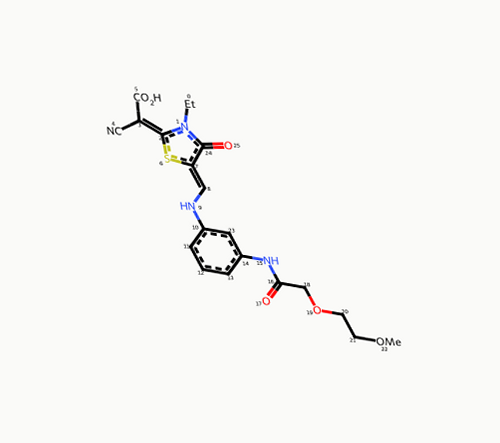 CCn1c(=C(C#N)C(=O)O)sc(=CNc2cccc(NC(=O)COCCOC)c2)c1=O